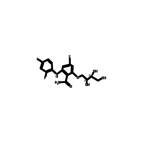 NC(=O)c1c(Nc2ccc(I)cc2F)cc(F)cc1OC[C@H](O)[C@@H](O)CO